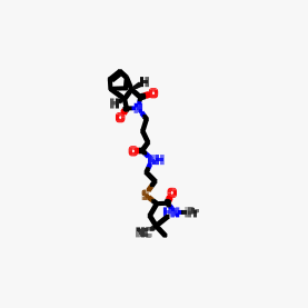 CC(C)NC(=O)C(CC(C)(C)C#N)SCCNC(=O)CCCN1C(=O)[C@@H]2C3C=CC(C3)[C@@H]2C1=O